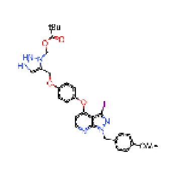 COc1ccc(Cn2nc(I)c3c(Oc4ccc(OCC5=CNNN5COC(=O)C(C)(C)C)cc4)ccnc32)cc1